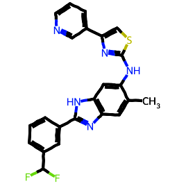 Cc1cc2nc(-c3cccc(C(F)F)c3)[nH]c2cc1Nc1nc(-c2cccnc2)cs1